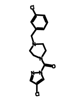 O=C(N1CCN(Cc2cccc(Cl)c2)CC1)n1cc(Cl)cn1